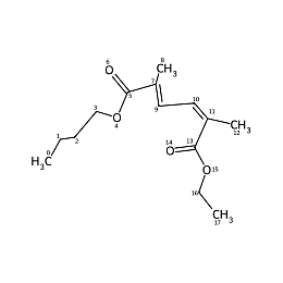 CCCCOC(=O)C(C)=CC=C(C)C(=O)OCC